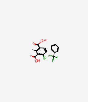 Cc1c(C(=O)O)ccc(Br)c1C(=O)O.FC(F)(F)c1ccccc1